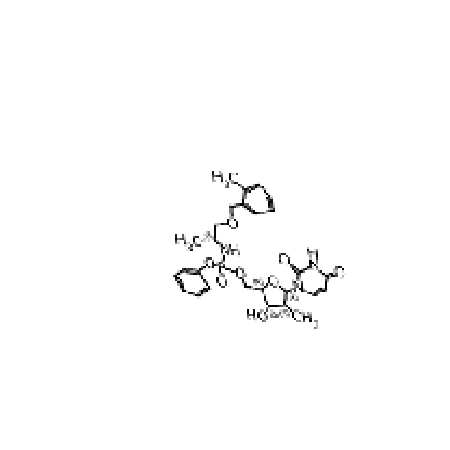 Cc1ccccc1COC[C@@H](C)NP(=O)(OC[C@H]1O[C@@H](n2ccc(=O)[nH]c2=O)[C@@H](C)[C@@H]1O)Oc1ccccc1